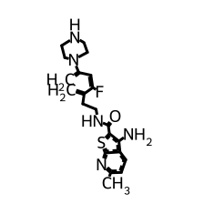 C=C(CCNC(=O)c1sc2nc(C)ccc2c1N)/C(F)=C\C(=C)N1CCNCC1